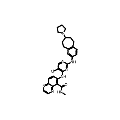 CNC(=O)c1c(Nc2nc(Nc3ccc4c(c3)CCC(N3CCCC3)CC4)ncc2Cl)ccc2nccnc12